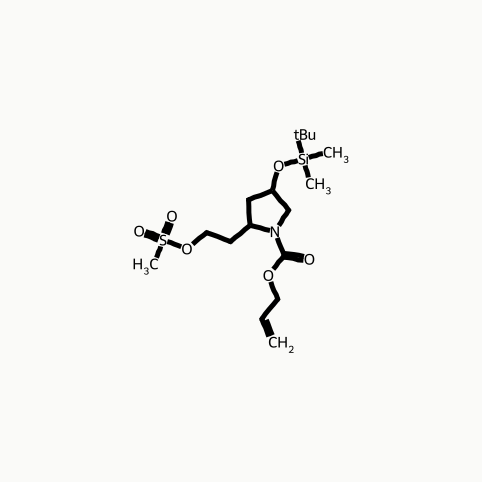 C=CCOC(=O)N1CC(O[Si](C)(C)C(C)(C)C)CC1CCOS(C)(=O)=O